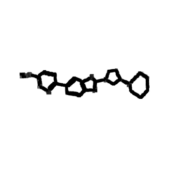 COc1ccc(-c2ccc3nc(N4CC[C@@H](N5CCCCC5)C4)sc3c2)nn1